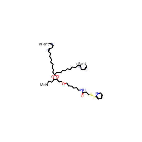 CCCCC/C=C\C/C=C\CCCCCCCCC1(CCCCCCCC/C=C\C/C=C\CCCCC)OC(CCNC)C(CCOCCCCCCNC(=O)CCSSc2ccccn2)O1